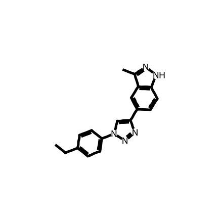 CCc1ccc(-n2cc(-c3ccc4[nH]nc(C)c4c3)nn2)cc1